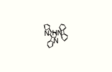 c1ccc2c(c1)N=c1ccc3c(c1-2)N=c1ccccc1=3.c1ccc2c(c1)[nH]c1ccccc12